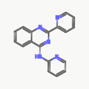 c1ccc(Nc2nc(-c3ccccn3)nc3ccccc23)nc1